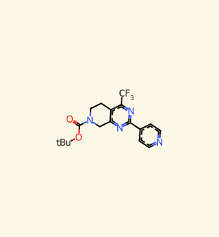 CC(C)(C)OC(=O)N1CCc2c(nc(-c3ccncc3)nc2C(F)(F)F)C1